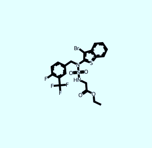 CCOC(=O)CNS(=O)(=O)N(Cc1ccc(F)c(C(F)(F)F)c1)c1sc2ccccc2c1Br